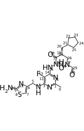 Cc1nc(NCc2csc(N)n2)c(F)c(NNC(=O)[C@@H](CC2CCCC2)CN(O)C=O)n1